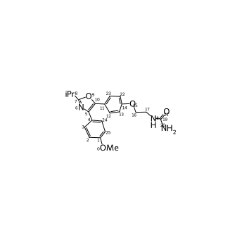 COc1ccc(-c2nc(C(C)C)oc2-c2ccc(OCCNC(N)=O)cc2)cc1